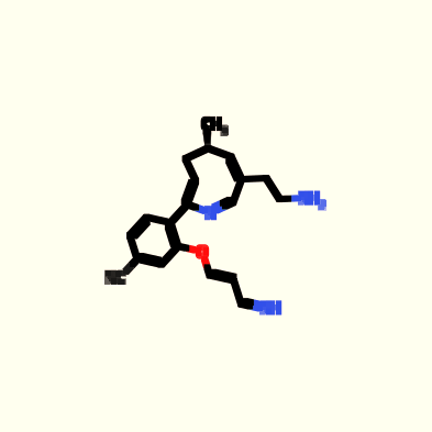 C[C@H]1\C=C(CCN)/C=N\C(c2ccc(C#N)cc2O/C=C/C=N)=C\C1